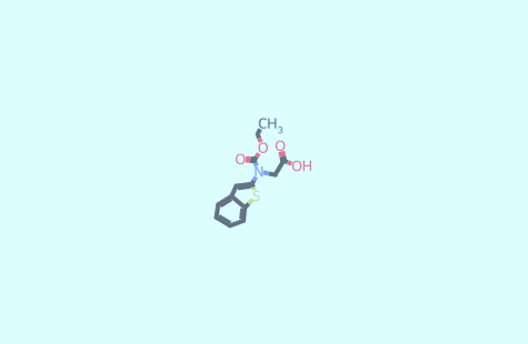 CCOC(=O)N(CC(=O)O)c1cc2ccccc2s1